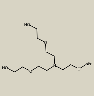 CCCOCCN(CCOCCO)CCOCCO